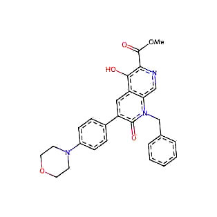 COC(=O)c1ncc2c(cc(-c3ccc(N4CCOCC4)cc3)c(=O)n2Cc2ccccc2)c1O